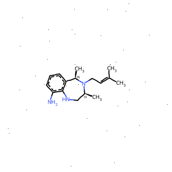 CC(C)=CCN1[C@H](C)c2cccc(N)c2NC[C@@H]1C